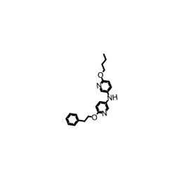 CCCCOc1ccc(Nc2ccc(OCCc3ccccc3)nc2)cn1